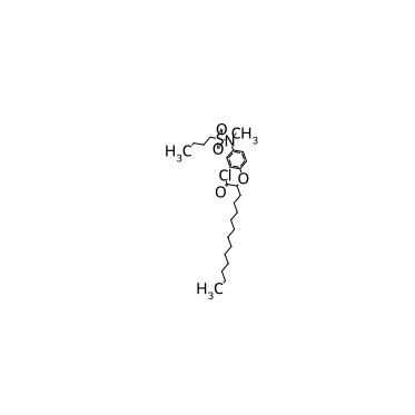 CCCCCCCCCCCCC(Oc1ccc(N(C)S(=O)(=O)CCCC)cc1)C(=O)Cl